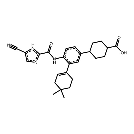 CC1(C)CC=C(c2cc(C3CCC(C(=O)O)CC3)ccc2NC(=O)c2ncc(C#N)[nH]2)CC1